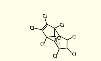 ClC1=C(Cl)C2(Cl)C3C(Cl)C(Cl)C(Cl)C3C1(Cl)C2(Cl)Cl